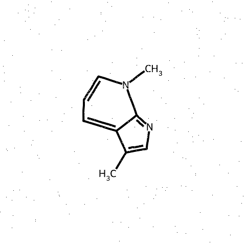 Cc1cnc2n(C)cccc1-2